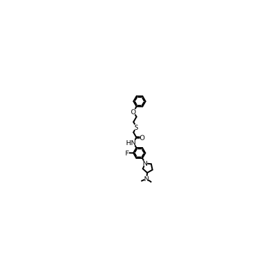 CN(C)C1CCN(c2ccc(NC(=O)CSCCOc3ccccc3)c(F)c2)C1